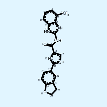 O=C(Nc1nc2c(C(F)(F)F)cccc2[nH]1)c1csc(-c2ccc3c(c2)CCO3)n1